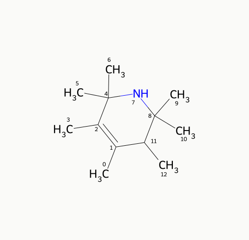 CC1=C(C)C(C)(C)NC(C)(C)C1C